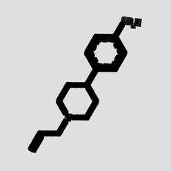 C=CCN1CCC(c2ccc(C(=O)O)cc2)CC1